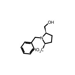 O=C(O)[C@@H]1CC[C@H](CO)N1Cc1ccccc1